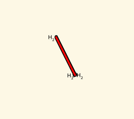 C=C=C=C=C=C=C=C=C=C=C=C=C=C=C=C=C=C=C=C=C=C=C=C=C=C=C=C=C=C=C=C=C=C=C=C=C=C=C=C=C=C=C=C=C=C=C=C=C=C=C=C=C=C=C=C=C=C=C=C=C=C=C=C=C=C=C=C=C=C=C=C=C=C=C=C=C=C=C=C=C=C=C=C=C=C=C=C=C=C=C=C=C=C=C=C=C=C=C=C=C=C=C=C=C(P)P